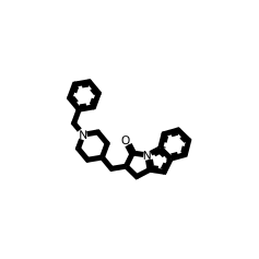 O=C1C(CC2CCN(Cc3ccccc3)CC2)Cc2cc3ccccc3n21